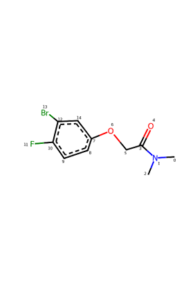 CN(C)C(=O)COc1ccc(F)c(Br)c1